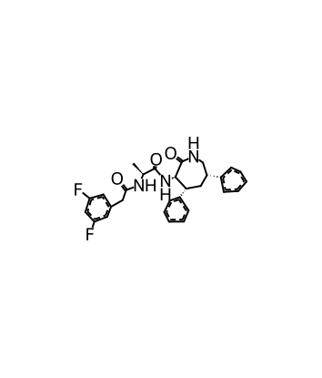 C[C@H](NC(=O)Cc1cc(F)cc(F)c1)C(=O)N[C@@H]1C(=O)NC[C@H](c2ccccc2)C[C@@H]1c1ccccc1